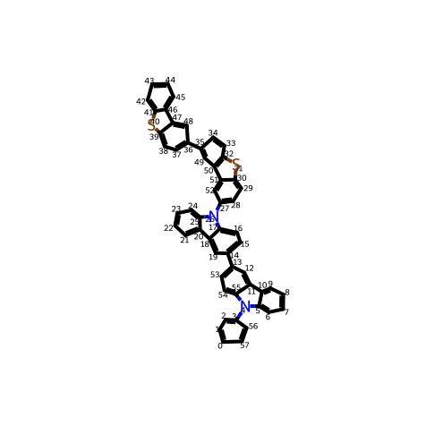 c1ccc(-n2c3ccccc3c3cc(-c4ccc5c(c4)c4ccccc4n5-c4ccc5sc6ccc(-c7ccc8sc9ccccc9c8c7)cc6c5c4)ccc32)cc1